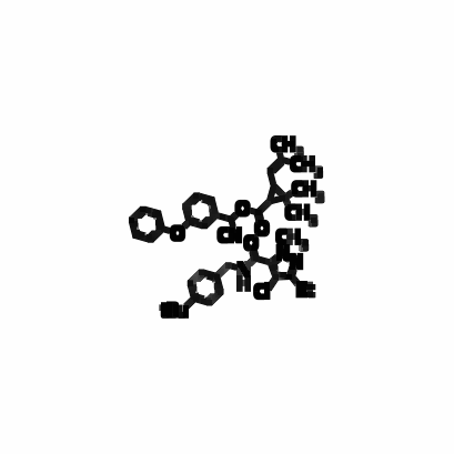 CC(C)=CC1C(C(=O)OC(C#N)c2cccc(Oc3ccccc3)c2)C1(C)C.CCc1nn(C)c(C(=O)NCc2ccc(C(C)(C)C)cc2)c1Cl